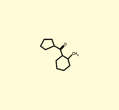 CC1CCCCC1C(=O)C1CCCC1